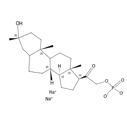 C[C@@]1(O)CC[C@@]2(C)C(CC[C@@H]3C2CC[C@]2(C)[C@@H](C(=O)COP(=O)([O-])[O-])CC[C@@H]32)C1.[Na+].[Na+]